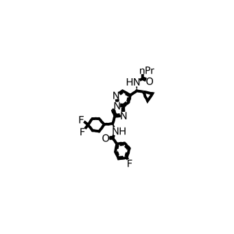 CCCC(=O)N[C@@H](c1cnn2cc([C@@H](NC(=O)c3ccc(F)cc3)C3CCC(F)(F)CC3)nc2c1)C1CC1